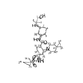 CC(C)(CO)Nc1cccc(NC(=O)c2ccc(NS(=O)(=O)C3(C)CC3)cc2N2CCC3(CC2)CC3)c1